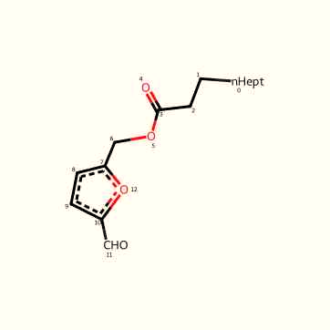 CCCCCCCCCC(=O)OCc1ccc(C=O)o1